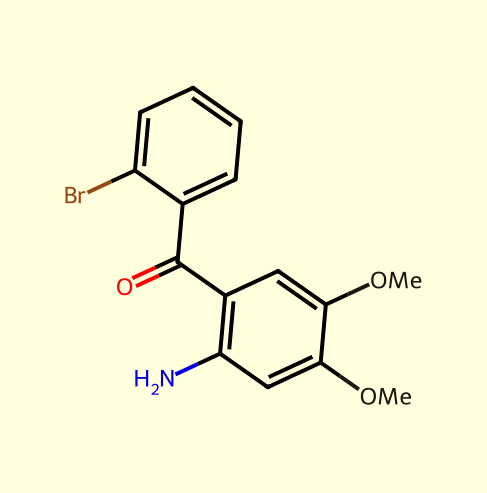 COc1cc(N)c(C(=O)c2ccccc2Br)cc1OC